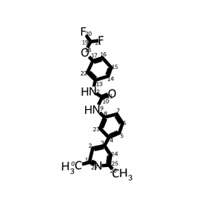 Cc1cc(-c2cccc(NC(=O)Nc3cccc(OC(F)F)c3)c2)cc(C)n1